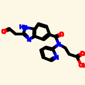 O=CCc1nc2cc(C(=O)N(CCC(=O)O)c3ccccn3)ccc2[nH]1